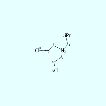 CC(C)CN(CCCl)CCCl